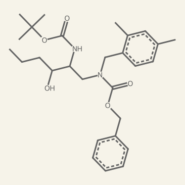 CCCC(O)C(CN(Cc1ccc(C)cc1C)C(=O)OCc1ccccc1)NC(=O)OC(C)(C)C